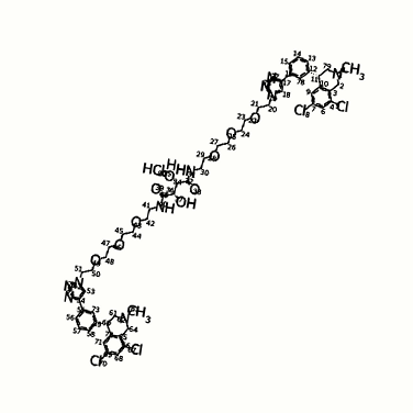 CN1Cc2c(Cl)cc(Cl)cc2[C@H](c2cccc(-c3cn(CCOCCOCCOCCNC(=O)[C@@H](O)[C@H](O)C(=O)NCCOCCOCCOCCn4cc(-c5cccc([C@@H]6CN(C)Cc7c(Cl)cc(Cl)cc76)c5)nn4)nn3)c2)C1.Cl